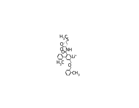 CSCC[C@H](NC(=O)c1ccc(COCc2ccccc2C)cc1-c1ccccc1C)C(=O)[O-].[Li+]